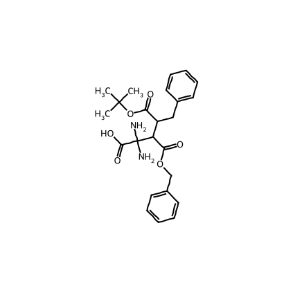 CC(C)(C)OC(=O)C(Cc1ccccc1)C(C(=O)OCc1ccccc1)C(N)(N)C(=O)O